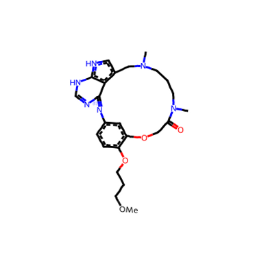 COCCCOc1ccc2cc1OCC(=O)N(C)CCCN(C)Cc1c[nH]c3c1/C(=N\2)N=CN3